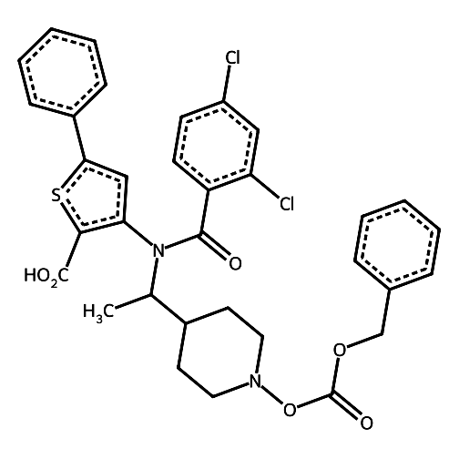 CC(C1CCN(OC(=O)OCc2ccccc2)CC1)N(C(=O)c1ccc(Cl)cc1Cl)c1cc(-c2ccccc2)sc1C(=O)O